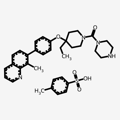 CCC1(Oc2ccc(-c3ccc4cccnc4c3C)cc2)CCN(C(=O)N2CCNCC2)CC1.Cc1ccc(S(=O)(=O)O)cc1